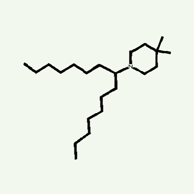 CCCCCCCC(CCCCCCC)N1CCC(C)(C)CC1